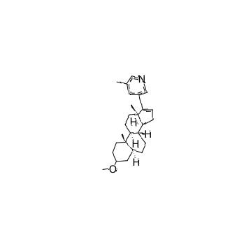 COC1CC[C@@]2(C)[C@@H](CC[C@@H]3[C@@H]2CC[C@]2(C)C(c4cncc(C)c4)=CC[C@@H]32)C1